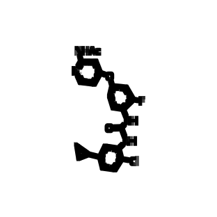 CC(=O)Nc1cc(Oc2ccc(NC(=O)Nc3cc(C4CC4)ccc3Cl)c(F)c2)ccn1